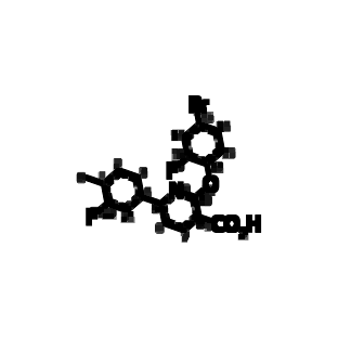 Cc1ccc(-c2ccc(C(=O)O)c(Oc3ccc(Br)cc3F)n2)cc1F